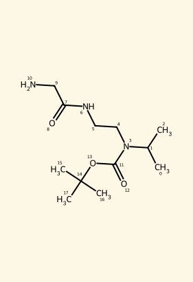 CC(C)N(CCNC(=O)CN)C(=O)OC(C)(C)C